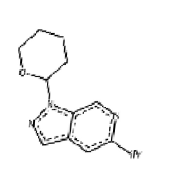 CC(C)c1cc2cnn(C3CCCCO3)c2cn1